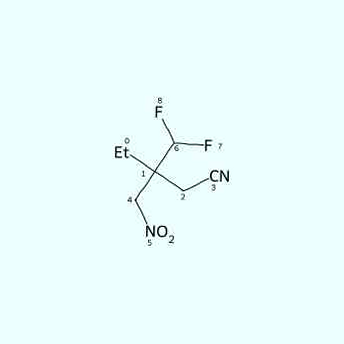 CCC(CC#N)(C[N+](=O)[O-])C(F)F